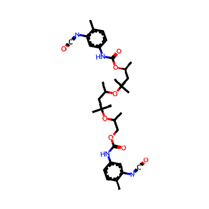 Cc1ccc(NC(=O)OCC(C)OC(C)(C)CC(C)OC(C)(C)CC(C)OC(=O)Nc2ccc(C)c(N=C=O)c2)cc1N=C=O